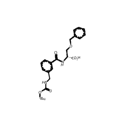 CC(C)(C)OC(=O)NCc1cccc(C(=O)N[C@H](COCc2ccccc2)C(=O)O)c1